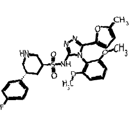 COc1cccc(OC)c1-n1c(NS(=O)(=O)[C@@H]2CNC[C@@H](c3ccc(F)cc3)C2)nnc1-c1ccc(C)o1